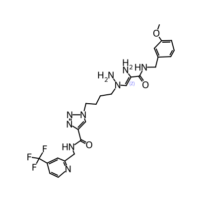 COc1cccc(CNC(=O)/C(N)=C/N(N)CCCCn2cc(C(=O)NCc3cc(C(F)(F)F)ccn3)nn2)c1